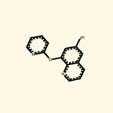 CC(C)c1cc(Oc2ccccn2)c2ncccc2c1